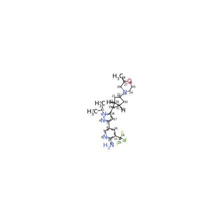 CC(C)n1nc(-c2cnc(N)c(C(F)(F)F)c2)cc1[C@H]1[C@@H]2C[C@@H](N3CCO[C@H](C)C3)C[C@@H]21